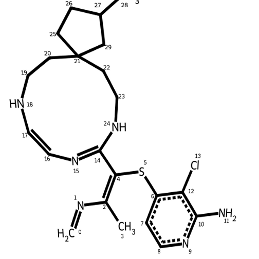 C=N\C(C)=C(Sc1ccnc(N)c1Cl)/C1=N/C=C\NCCC2(CCN1)CCC(C)C2